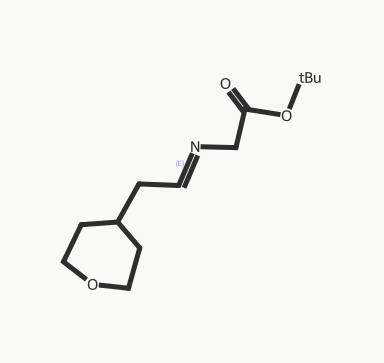 CC(C)(C)OC(=O)C/N=C/CC1CCOCC1